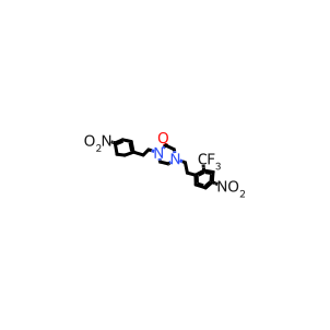 O=C1CN(CCc2ccc([N+](=O)[O-])cc2C(F)(F)F)CCN1CCC1=CC=C([N+](=O)[O-])CC1